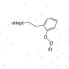 CCCCCCCCCc1ccccc1OOCC